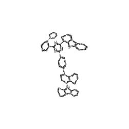 c1ccc(-c2ccccc2-c2nc(-c3ccc(-c4ccc(-n5c6ccccc6c6ccccc65)c5ccccc45)cc3)nc(-c3cccc4c3sc3ccccc34)n2)cc1